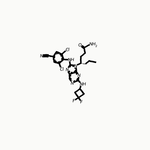 CCC[C@@H](CCC(N)=O)n1c(Nc2c(Cl)cc(C#N)cc2Cl)nc2cnc(NC3CC(F)(F)C3)nc21